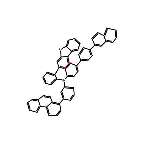 c1cc(-c2cccc3c2ccc2ccccc23)cc(N(c2ccc(-c3ccc(-c4ccc5ccccc5c4)cc3)cc2)c2ccccc2-c2ccc3c(c2)oc2ccccc23)c1